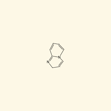 [C]1=CN2C=[C]CN=C2C=C1